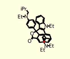 CCN(CC(C)C)c1ccc(C2(c3c(-c4ccccc4)n(CC)c4ccccc34)OC(=O)c3cc(N(CC)CC)c(I)cc32)cc1